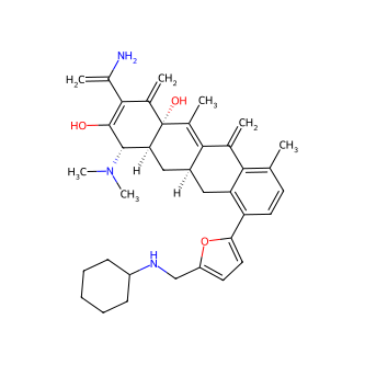 C=C(N)C1=C(O)[C@@H](N(C)C)[C@@H]2C[C@@H]3Cc4c(-c5ccc(CNC6CCCCC6)o5)ccc(C)c4C(=C)C3=C(C)[C@]2(O)C1=C